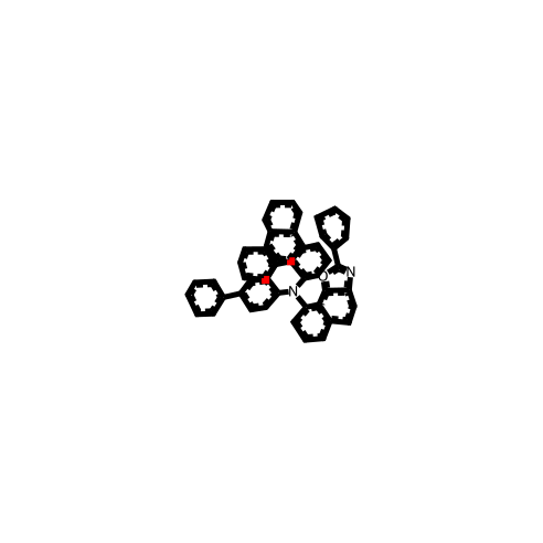 c1ccc(-c2ccc(N(c3ccccc3-c3ccccc3)c3cccc4ccc5nc(-c6ccccc6)oc5c34)c(-c3ccc4ccccc4c3)c2)cc1